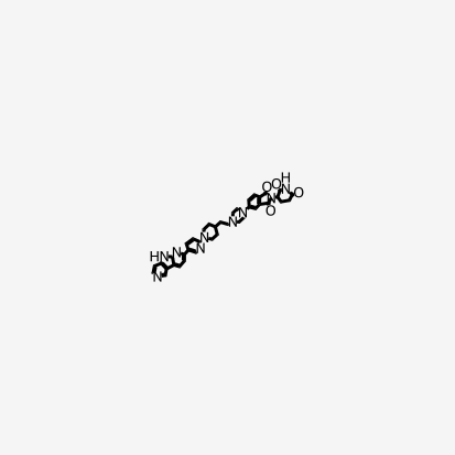 O=C1CCC(N2C(=O)c3ccc(N4CCN(CCC5CCN(c6ccc(-c7ccc8c(n7)[nH]c7ccncc78)cn6)CC5)CC4)cc3C2=O)C(=O)N1